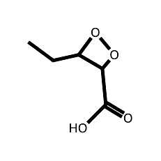 CCC1OOC1C(=O)O